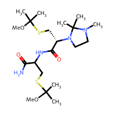 COC(C)(C)SCC(NC(=O)[C@H](CSC(C)(C)OC)N1CCN(C)C1(C)C)C(N)=O